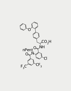 CCCCCN(C(=O)c1cc(C(F)(F)F)cc(C(F)(F)F)c1)c1ccc(Cl)cc1C(=O)N[C@@H](Cc1ccc(-c2ccccc2Oc2ccccc2)cc1)C(=O)O